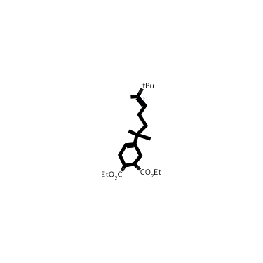 CCOC(=O)C1CC=C(C(C)(C)CC/C=C(\C)C(C)(C)C)CC1C(=O)OCC